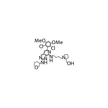 COc1cc(OC)c(Cl)c(-c2cc3cnc(NC4CCCOC4)nc3c(NCCCCN3CCCC3CO)n2)c1Cl